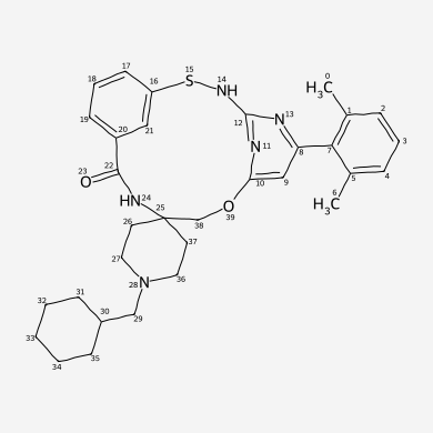 Cc1cccc(C)c1-c1cc2nc(n1)NSc1cccc(c1)C(=O)NC1(CCN(CC3CCCCC3)CC1)CO2